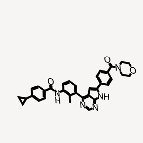 Cc1c(NC(=O)c2ccc(C3CC3)cc2)cccc1-c1ncnc2[nH]c(-c3ccc(C(=O)N4CCOCC4)cc3)cc12